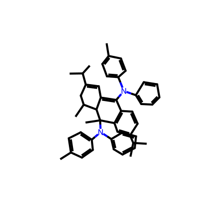 Cc1ccc(N(C2=C3C=C(C(C)C)CC(C)C3C(C)(N(c3ccccc3)c3ccc(C)cc3)c3cc(C(C)C)ccc32)c2ccccc2)cc1